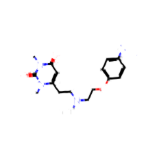 CCCN(CCOc1ccc(N)cc1)CCc1cc(=O)n(C)c(=O)n1C